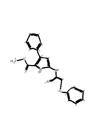 COC(=O)c1[nH]c(NC(=O)COc2ccccc2)cc1-c1ccccc1